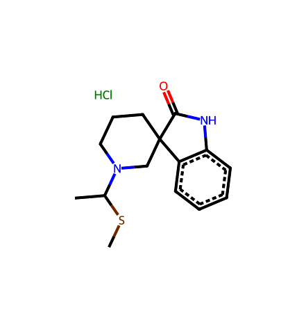 CSC(C)N1CCCC2(C1)C(=O)Nc1ccccc12.Cl